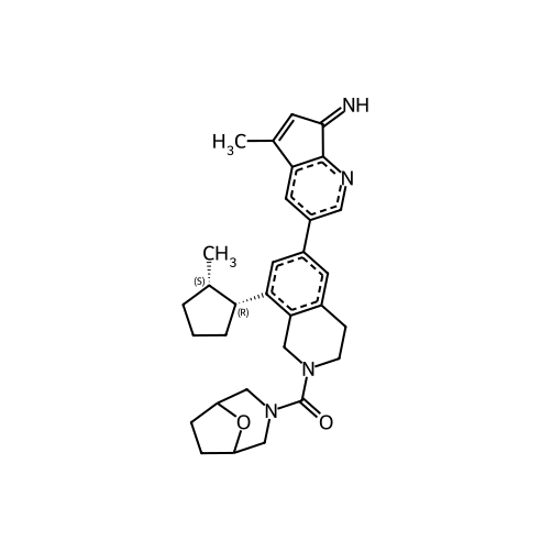 CC1=CC(=N)c2ncc(-c3cc4c(c([C@@H]5CCC[C@@H]5C)c3)CN(C(=O)N3CC5CCC(C3)O5)CC4)cc21